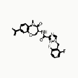 C=C(C)c1ccc2c(c1)OC[C@H](NC(=O)c1ncn(Cc3c(F)cccc3F)n1)C(=O)N2C